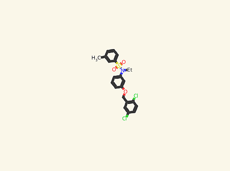 CCN(c1cccc(OCc2cc(Cl)ccc2Cl)c1)S(=O)(=O)c1cccc(C)c1